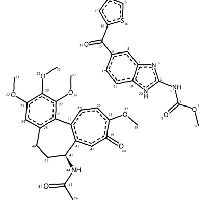 COC(=O)Nc1nc2cc(C(=O)c3cccs3)ccc2[nH]1.COc1cc2c(c(OC)c1OC)-c1ccc(OC)c(=O)cc1[C@@H](NC(C)=O)CC2